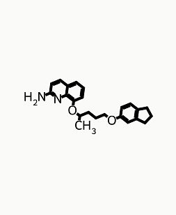 CC(CCCOc1ccc2c(c1)CCC2)Oc1cccc2ccc(N)nc12